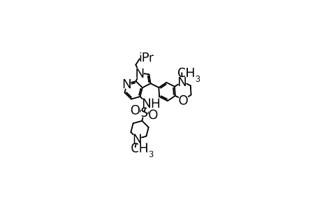 CC(C)Cn1cc(-c2ccc3c(c2)N(C)CCO3)c2c(NS(=O)(=O)C3CCN(C)CC3)ccnc21